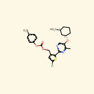 Cc1nc(-c2sc(Cl)cc2COC(=O)Oc2ccc([N+](=O)[O-])cc2)ncc1O[C@H]1CCC[C@H](C(=O)O)C1